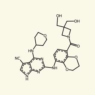 N#Cc1c[nH]c2nc(Nc3ccc(C(=O)N4CC(CO)(CO)C4)c4c3OCCO4)nc(NC3CCOCC3)c12